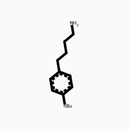 CCCCc1ccc(CCCCN)cc1